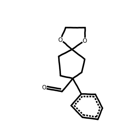 O=CC1(c2ccccc2)CCC2(CC1)OCCO2